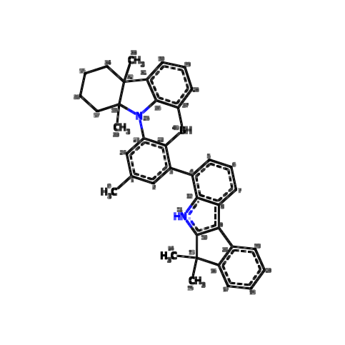 Cc1cc(-c2cccc3c4c([nH]c23)C(C)(C)c2ccccc2-4)c2c(c1)N1c3c(cccc3C3(C)CCCCC13C)B2